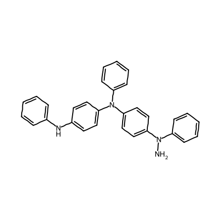 NN(c1ccccc1)c1ccc(N(c2ccccc2)c2ccc(Nc3ccccc3)cc2)cc1